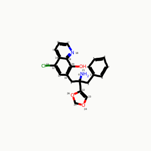 NC(Cc1ccccc1)(Cc1cc(Cl)c2cccnc2c1O)C1=COCO1